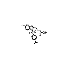 CC(C)c1ccc(S(=O)(=O)n2c(CCCC(=O)O)cc3nc(Cl)ccc32)cc1